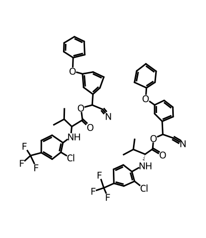 CC(C)C(Nc1ccc(C(F)(F)F)cc1Cl)C(=O)OC(C#N)c1cccc(Oc2ccccc2)c1.CC(C)[C@@H](Nc1ccc(C(F)(F)F)cc1Cl)C(=O)OC(C#N)c1cccc(Oc2ccccc2)c1